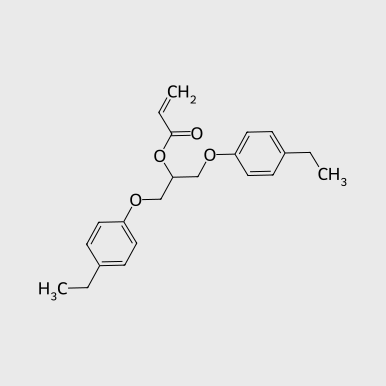 C=CC(=O)OC(COc1ccc(CC)cc1)COc1ccc(CC)cc1